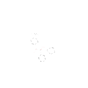 COc1ccc(C(=O)C(=O)c2ccccc2-c2ccccc2)cc1